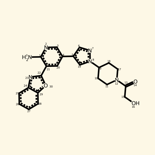 Nc1ncc(-c2cnn(C3CCN(C(=O)CO)CC3)c2)cc1-c1nc2ccccc2o1